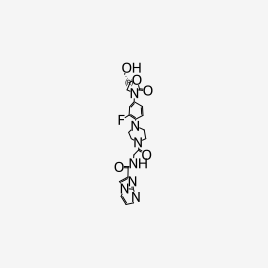 O=C(NCC(=O)N1CCN(c2ccc(N3C[C@H](CO)OC3=O)cc2F)CC1)c1cn2cccnc2n1